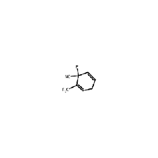 N#CC1(F)C=CCC=C1C(F)(F)F